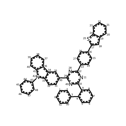 c1ccc(-c2ccccc2-c2nc(-c3ccc(-c4cc5ccccc5s4)cc3)nc(-c3ccc4c(c3)c3ccccc3n4-c3ccccc3)n2)cc1